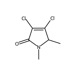 CC1C(Cl)=C(Cl)C(=O)N1C